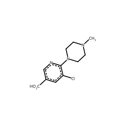 CN1CCN(c2ncc(C(=O)O)cc2Cl)CC1